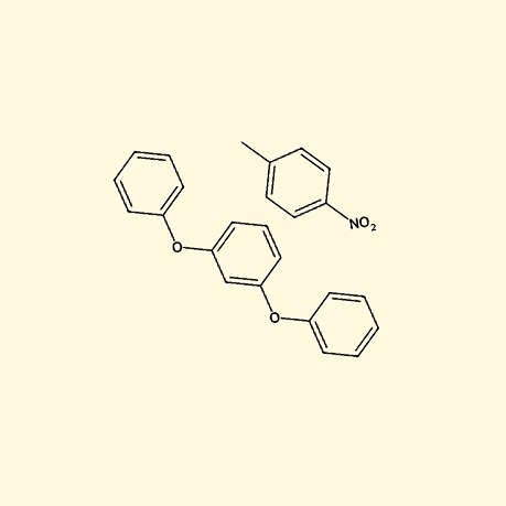 Cc1ccc([N+](=O)[O-])cc1.c1ccc(Oc2cccc(Oc3ccccc3)c2)cc1